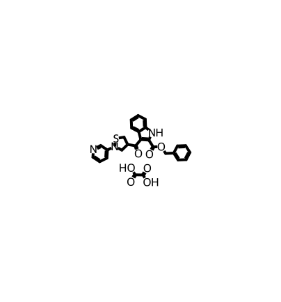 O=C(O)C(=O)O.O=C(OCc1ccccc1)c1[nH]c2ccccc2c1C(=O)C1CSN(c2cccnc2)C1